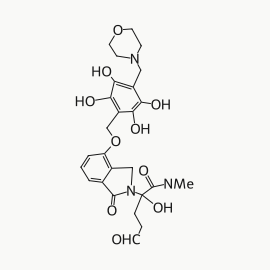 CNC(=O)C(O)(CCC=O)N1Cc2c(OCc3c(O)c(O)c(CN4CCOCC4)c(O)c3O)cccc2C1=O